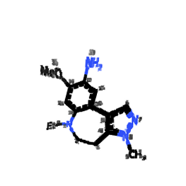 CCN1CCc2c(cnn2C)-c2cc(N)c(OC)cc21